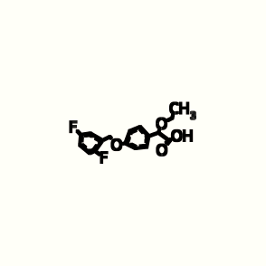 CCOC(C(=O)O)c1ccc(OCc2cc(F)ccc2F)cc1